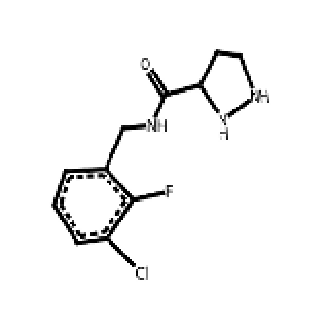 O=C(NCc1cccc(Cl)c1F)C1CCNN1